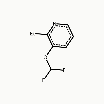 CCc1ncccc1OC(F)F